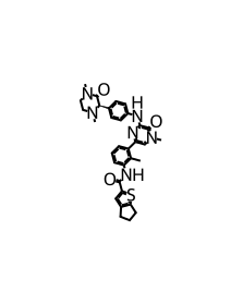 Cc1c(NC(=O)c2cc3c(s2)CCC3)cccc1-c1cn(C)c(=O)c(Nc2ccc([C@@H]3C(=O)N(C)CCN3C)cc2)n1